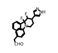 O=CCc1ccc(N2CCC(c3cn[nH]c3)C(F)C2(F)c2ccccc2)cc1